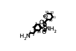 NCCc1ccc(OCC2CCCCO2)c(S(N)(=O)=O)c1